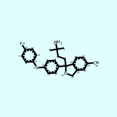 CC(C)(N)CCC1(c2ccc(Sc3ccc(F)cc3)cc2)OCc2cc(C#N)ccc21